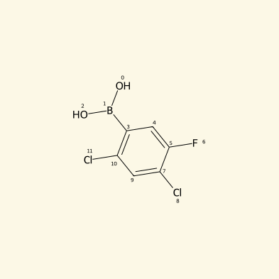 OB(O)c1cc(F)c(Cl)cc1Cl